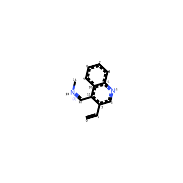 C=Cc1cnc2ccccc2c1/C=N\C